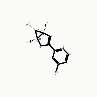 N#C[C@@H]1[C@H]2C=C(c3cc(Cl)ccn3)C[C@@H]12